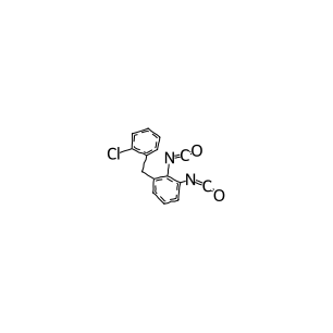 O=C=Nc1cccc(Cc2ccccc2Cl)c1N=C=O